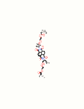 C=CC(=O)OCCOOCC(CC(C)C)N1C(=O)c2ccc3c4c(ccc(c24)C1=O)C(=O)N(C(COOCCOC(=O)C=C)CC(C)C)C3=O